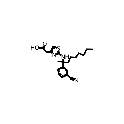 CCCCCCCC(C)(Nc1nc(CC(=O)O)cs1)c1cccc(C#N)c1